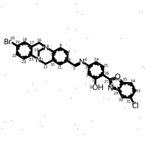 Oc1cc(/N=C/c2ccc3c(c2)CN2CN3Cc3cc(Br)ccc32)ccc1-c1nc2cc(Cl)ccc2o1